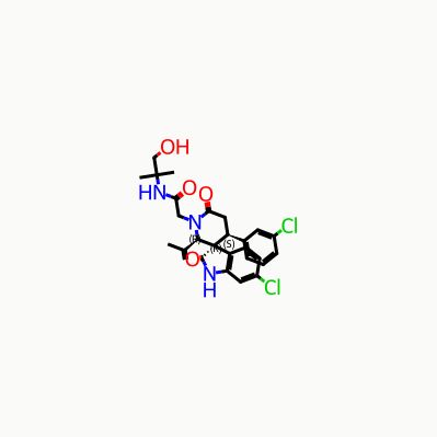 C=C(C)[C@H]1N(CC(=O)NC(C)(C)CO)C(=O)C[C@@H](c2cccc(Cl)c2)[C@]12C(=O)Nc1cc(Cl)ccc12